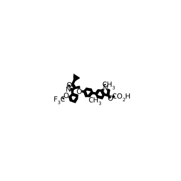 Cc1cc(OCc2c(-c3ccccc3OC(F)(F)F)noc2C2CC2)ccc1-c1ccc2c(OC(=O)O)cn(C)c2c1